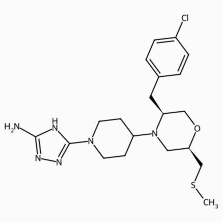 CSC[C@H]1CN(C2CCN(c3nnc(N)[nH]3)CC2)[C@@H](Cc2ccc(Cl)cc2)CO1